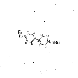 CCCCN1CC=C(c2ccc(OF)cc2)CC1